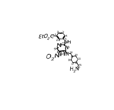 CCOC(=O)c1cccc(Nc2ncc([N+](=O)[O-])c(NCC3CCC(CN)CC3)n2)c1